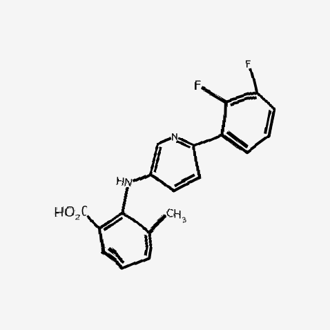 Cc1cccc(C(=O)O)c1Nc1ccc(-c2cccc(F)c2F)nc1